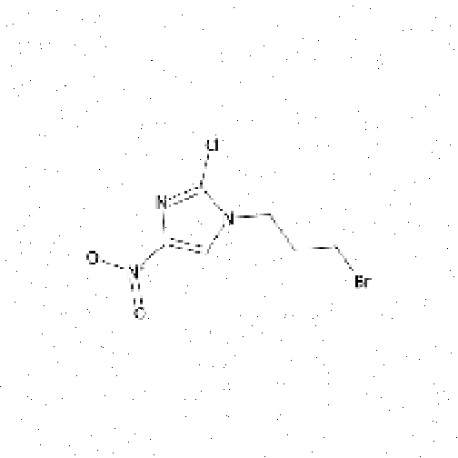 O=[N+]([O-])c1cn(CCCBr)c(Cl)n1